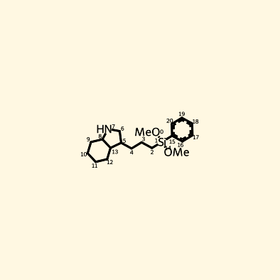 CO[Si](CCCC1CNC2CCCCC12)(OC)c1ccccc1